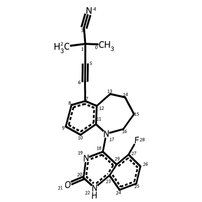 CC(C)(C#N)C#Cc1cccc2c1CCCCN2c1nc(=O)[nH]c2cccc(F)c12